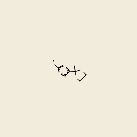 CNc1ncc(C2(C)OCCO2)s1